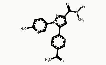 Cc1ccc(-n2nc(C(=O)N(C)C(C)C)cc2-c2ccc(C(N)=O)cn2)cn1